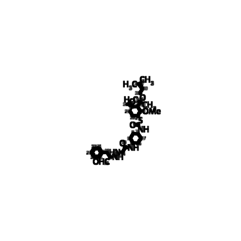 COC1C(SC(=O)N[C@H]2CC[C@H](NC(=O)CNN[C@H](C=O)Cc3ccccc3)CC2)CC[C@]2(CO2)C1C(C)(C)OCC=C(C)C